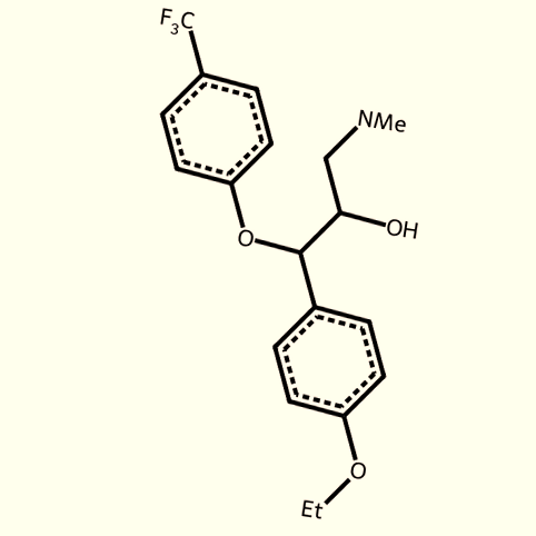 CCOc1ccc(C(Oc2ccc(C(F)(F)F)cc2)C(O)CNC)cc1